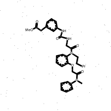 COC(=O)Cc1cccc(NC(=O)NCC(=O)N(CCC(C)C)c2ccccc2OCC(=O)N(C)c2ccccc2)c1